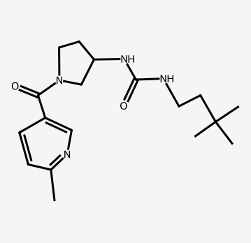 Cc1ccc(C(=O)N2CCC(NC(=O)NCCC(C)(C)C)C2)cn1